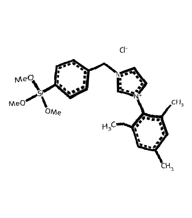 CO[Si](OC)(OC)c1ccc(Cn2cc[n+](-c3c(C)cc(C)cc3C)c2)cc1.[Cl-]